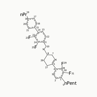 CCCCCc1ccc(C2=CCC(CCc3ccc(-c4ccc(CCC)cc4)c(F)c3F)CC2)c(F)c1F